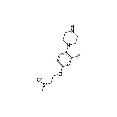 C[S+]([O-])CCOc1ccc(N2CCNCC2)c(F)c1